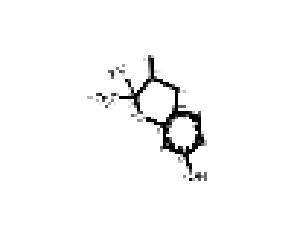 CCC[C@]1(C(=O)O)Oc2cc(O)ccc2CC1C